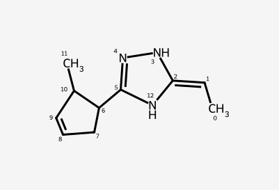 C/C=C1/NN=C(C2CC=CC2C)N1